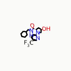 O=C(NCC1CCCCC1)[C@@H]1C[C@@H](O)CN1c1ccc(C(F)(F)F)cn1